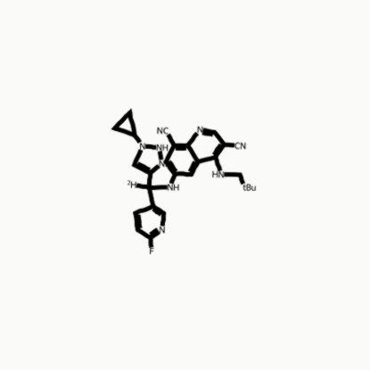 [2H]C(Nc1cc(C#N)c2ncc(C#N)c(NCC(C)(C)C)c2c1)(C1=CN(C2CC2)NN1)c1ccc(F)nc1